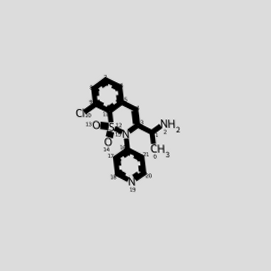 CC(N)C1=Cc2cccc(Cl)c2S(=O)(=O)N1c1ccncc1